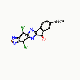 CCCCCCc1ccc2c(c1)C(=O)c1nc3c(Br)c4nsnc4c(Br)c3nc1-2